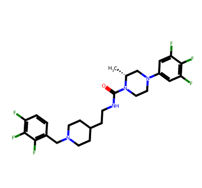 C[C@@H]1CN(c2cc(F)c(F)c(F)c2)CCN1C(=O)NCCC1CCN(Cc2ccc(F)c(F)c2F)CC1